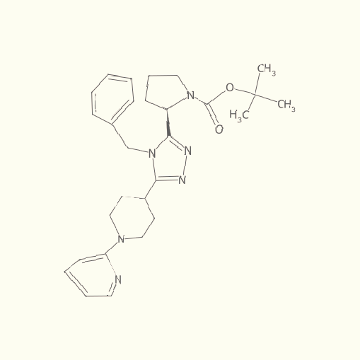 CC(C)(C)OC(=O)N1CCC[C@@H]1c1nnc(C2CCN(c3ccccn3)CC2)n1Cc1ccccc1